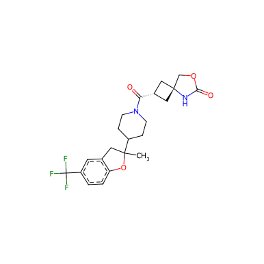 CC1(C2CCN(C(=O)[C@H]3C[C@]4(COC(=O)N4)C3)CC2)Cc2cc(C(F)(F)F)ccc2O1